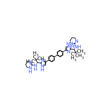 CC(C)(C)[C@H](NC1=NCCCN1)c1nc(-c2ccc(-c3ccc(-c4c[nH]c([C@@H](NC5=NCCCN5)C(C)(C)C)n4)cc3)cc2)c[nH]1